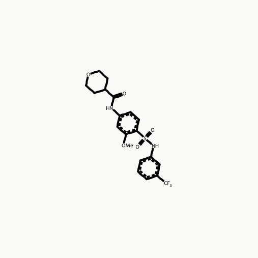 COc1cc(NC(=O)C2CCOCC2)ccc1S(=O)(=O)Nc1cccc(C(F)(F)F)c1